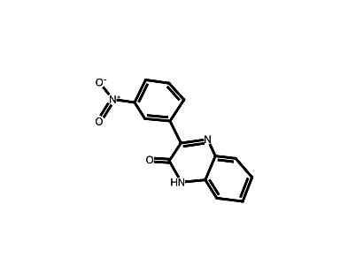 O=c1[nH]c2ccccc2nc1-c1cccc([N+](=O)[O-])c1